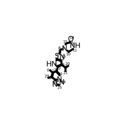 Cc1c(-c2[nH]c3sc(CN4CCNC(=O)C4)nc3c2C(C)C)cn2ncnc2c1C